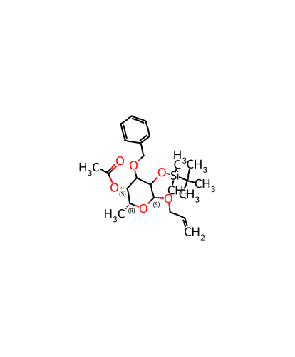 C=CCO[C@H]1O[C@H](C)[C@H](OC(C)=O)C(OCc2ccccc2)C1O[Si](C)(C)C(C)(C)C